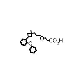 CC1(CCCOCCC(=O)O)CC(c2ccccc2Oc2ccccc2)C1